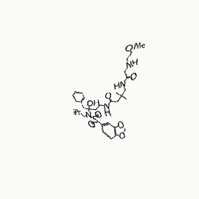 COCCNCC(=O)NCC(C)(C)CC(=O)NCCC(O)(Cc1ccccc1)N(CC(C)C)S(=O)(=O)c1ccc2c(c1)OCO2